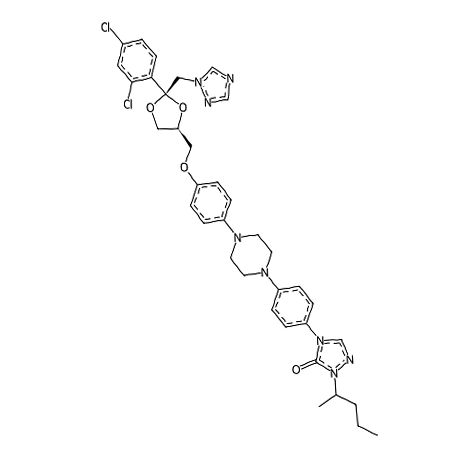 CCCC(C)n1ncn(-c2ccc(N3CCN(c4ccc(OC[C@H]5CO[C@](Cn6cncn6)(c6ccc(Cl)cc6Cl)O5)cc4)CC3)cc2)c1=O